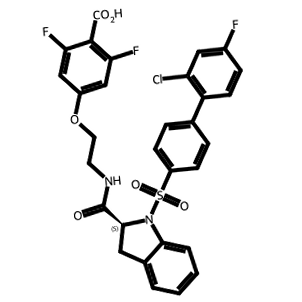 O=C(O)c1c(F)cc(OCCNC(=O)[C@@H]2Cc3ccccc3N2S(=O)(=O)c2ccc(-c3ccc(F)cc3Cl)cc2)cc1F